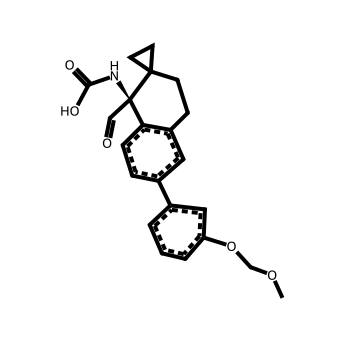 COCOc1cccc(-c2ccc3c(c2)CCC2(CC2)[C@]3(C=O)NC(=O)O)c1